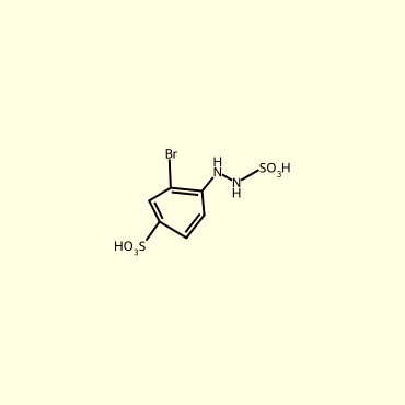 O=S(=O)(O)NNc1ccc(S(=O)(=O)O)cc1Br